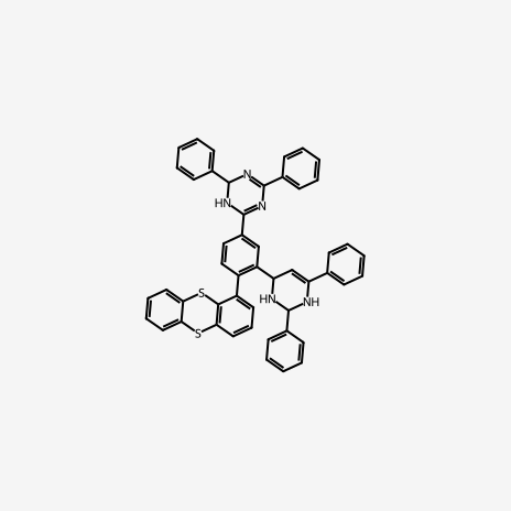 C1=C(c2ccccc2)NC(c2ccccc2)NC1c1cc(C2=NC(c3ccccc3)=NC(c3ccccc3)N2)ccc1-c1cccc2c1Sc1ccccc1S2